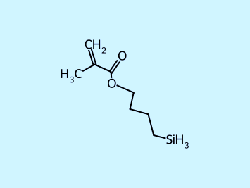 C=C(C)C(=O)OCCCC[SiH3]